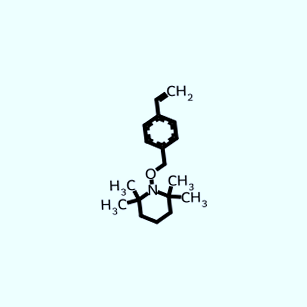 C=Cc1ccc(CON2C(C)(C)CCCC2(C)C)cc1